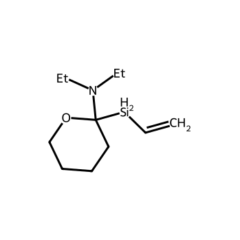 C=C[SiH2]C1(N(CC)CC)CCCCO1